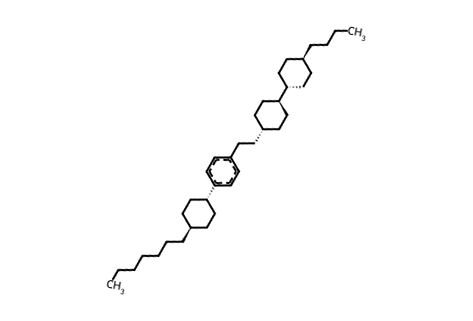 CCCCCCC[C@H]1CC[C@H](c2ccc(CC[C@H]3CC[C@H]([C@H]4CC[C@H](CCCC)CC4)CC3)cc2)CC1